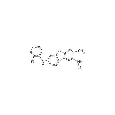 CCNc1cc2c(cc1C)Cc1cc(Nc3ccccc3Cl)ccc1-2